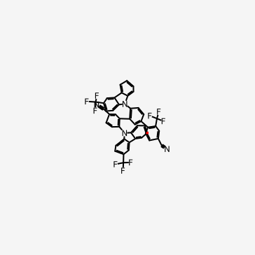 N#Cc1ccc(-n2c3ccccc3c3cc(C(F)(F)F)ccc32)c(-c2cc(-c3ccc(C#N)cc3C(F)(F)F)ccc2-n2c3ccccc3c3cc(C(F)(F)F)ccc32)c1